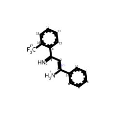 N=C(/C=C(\N)c1ccccc1)c1ccccc1C(F)(F)F